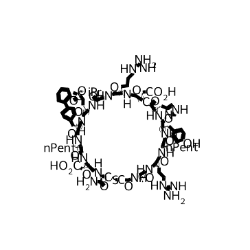 CCCCC[C@@H]1NC(=O)[C@H](CCCNC(=N)N)NC(=O)[C@H](C)NC(=O)CSC[C@@H](C(N)=O)NC(=O)[C@H](CC(=O)O)NC(=O)[C@H](CCCCC)NC(=O)[C@H](Cc2ccc(-c3ccccc3)cc2)NC(=O)[C@H](CCS(C)(=O)=O)NC(=O)[C@H](C(C)C)NC(=O)[C@H](CCCCNC(=N)N)NC(=O)[C@H](CC(=O)O)CC(=O)[C@H](Cc2c[nH]cn2)NC(=O)[C@H](Cc2ccc(O)cc2)NC1=O